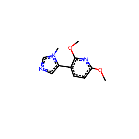 COc1ccc(-c2cncn2C)c(OC)n1